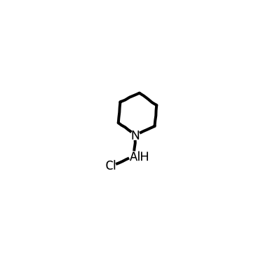 [Cl][AlH][N]1CCCCC1